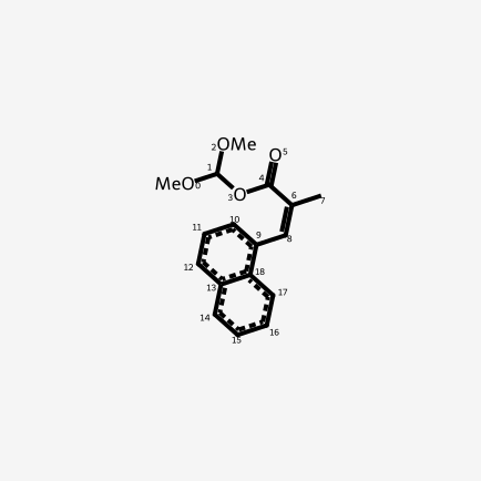 COC(OC)OC(=O)C(C)=Cc1cccc2ccccc12